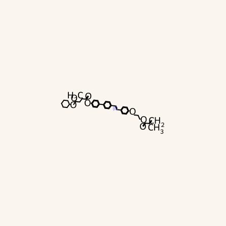 C=C(C)C(=O)OCCCOc1ccc(/C=C/c2ccc(-c3ccc(OC(=O)C(=C)CC(=O)OC4CCCCC4)cc3)cc2)cc1